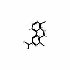 Cc1cc(C(C)C)cc2c1ccc1c(C)ccnc12